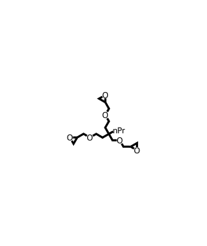 CCCC(CCOCC1CO1)(CCOCC1CO1)COCC1CO1